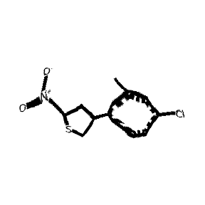 Cc1cc(Cl)ccc1C1CSC([N+](=O)[O-])C1